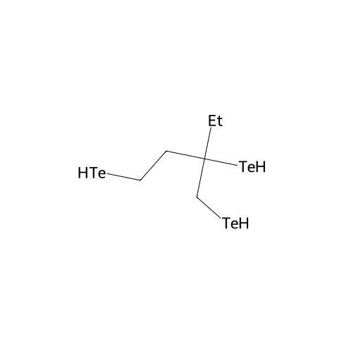 [CH2]CC([TeH])(C[TeH])CC[TeH]